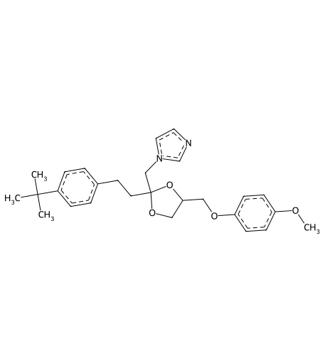 COc1ccc(OCC2COC(CCc3ccc(C(C)(C)C)cc3)(Cn3ccnc3)O2)cc1